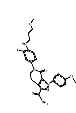 COCCCNc1ccc(N2CCc3c(C(N)=O)nn(-c4ccc(OC)cc4)c3C2=O)cc1F